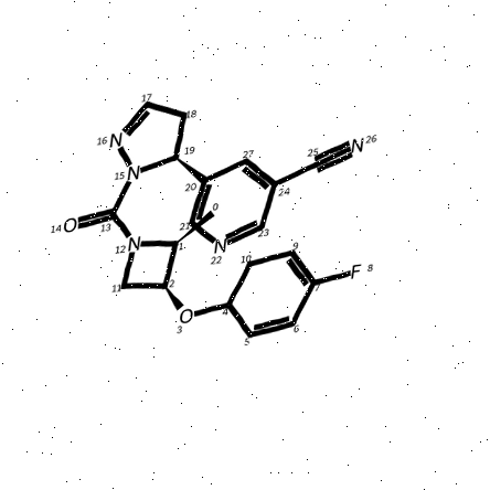 C[C@H]1[C@@H](OC2C=CC(F)=CC2)CN1C(=O)N1N=CC[C@H]1c1cncc(C#N)c1